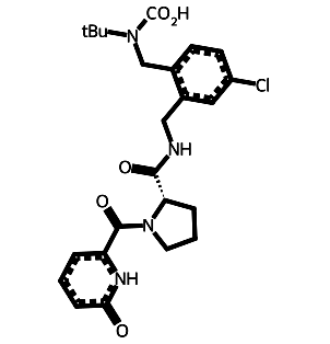 CC(C)(C)N(Cc1ccc(Cl)cc1CNC(=O)[C@@H]1CCCN1C(=O)c1cccc(=O)[nH]1)C(=O)O